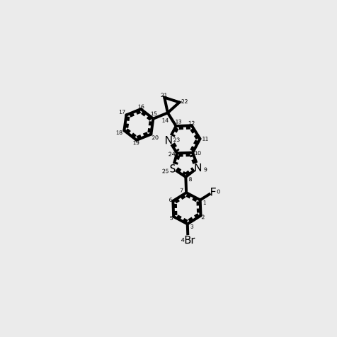 Fc1cc(Br)ccc1-c1nc2ccc(C3(c4ccccc4)CC3)nc2s1